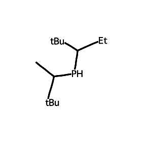 CCC(PC(C)C(C)(C)C)C(C)(C)C